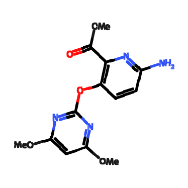 COC(=O)c1nc(N)ccc1Oc1nc(OC)cc(OC)n1